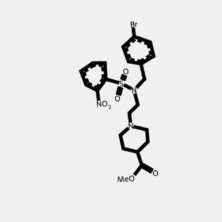 COC(=O)C1CCN(CCN(Cc2ccc(Br)cc2)S(=O)(=O)c2ccccc2[N+](=O)[O-])CC1